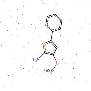 CCOC(=O)Oc1cc(-c2ccccc2)sc1N